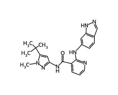 Cn1nc(NC(=O)c2cccnc2Nc2ccc3cn[nH]c3c2)cc1C(C)(C)C